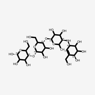 CC1O[C@@H](O[C@H]2C(CO)O[C@@H](O[C@H]3C(CO)O[C@@H](O)C(O)C3O)C(O)C2O)C(O)C(O)[C@H]1N[C@@H]1C=C(CO)[C@H](O)C(O)C1O